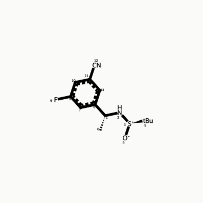 C[C@@H](N[S@+]([O-])C(C)(C)C)c1cc(F)cc(C#N)c1